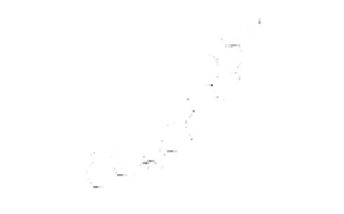 N#Cc1ccc(C2CCC(C3CCC(/C=C/CC4OCCCO4)CC3)CC2)cc1